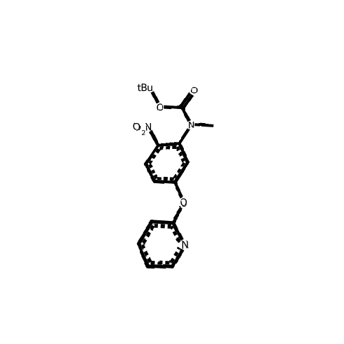 CN(C(=O)OC(C)(C)C)c1cc(Oc2ccccn2)ccc1[N+](=O)[O-]